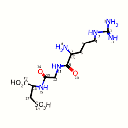 N=C(N)NCCC[C@H](N)C(=O)NCC(=O)NC(CS(=O)(=O)O)C(=O)O